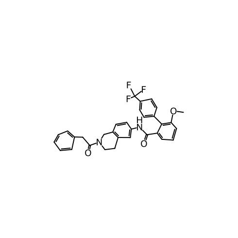 COc1cccc(C(=O)Nc2ccc3c(c2)CCN(C(=O)Cc2ccccc2)C3)c1-c1ccc(C(F)(F)F)cc1